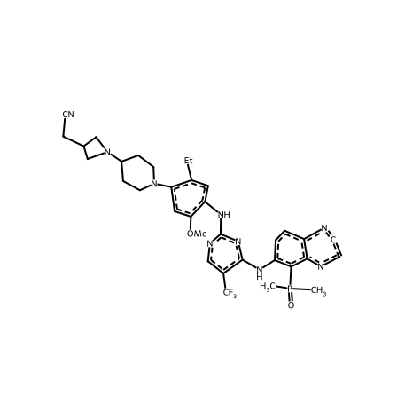 CCc1cc(Nc2ncc(C(F)(F)F)c(Nc3ccc4nccnc4c3P(C)(C)=O)n2)c(OC)cc1N1CCC(N2CC(CC#N)C2)CC1